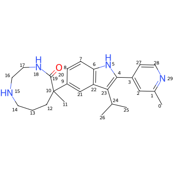 Cc1cc(-c2[nH]c3ccc(C4(C)CCCNCCNC4=O)cc3c2C(C)C)ccn1